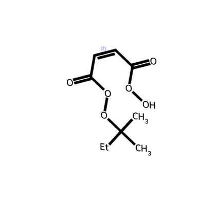 CCC(C)(C)OOC(=O)/C=C\C(=O)OO